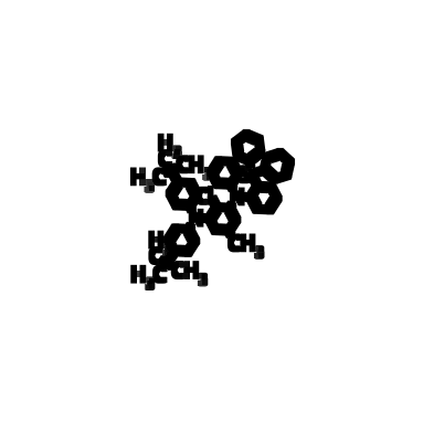 Cc1cc(N(c2ccc(C(C)(C)C)cc2)c2ccc(C(C)(C)C)cc2)c(Cl)c(N2c3ccccc3[Si](c3ccccc3)(c3ccccc3)c3ccccc32)c1